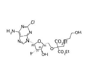 CCOC(=O)C(CCCCO)(OC[C@H]1O[C@@H](n2cnc3c(N)nc(Cl)nc32)[C@@H](F)[C@@H]1O)C(=O)OCC